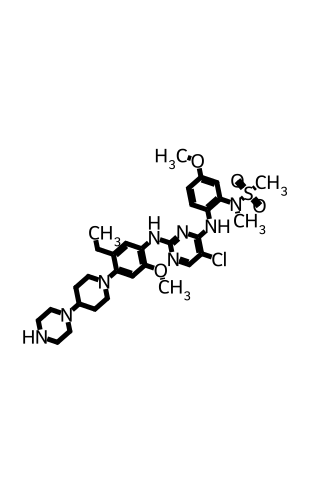 CCc1cc(Nc2ncc(Cl)c(Nc3ccc(OC)cc3N(C)S(C)(=O)=O)n2)c(OC)cc1N1CCC(N2CCNCC2)CC1